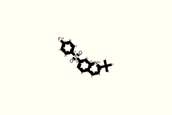 CC(C)(C)c1ccc2ccc(S(=O)(=O)c3ccc(F)cc3)cc2n1